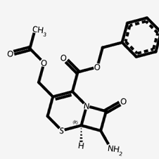 CC(=O)OCC1=C(C(=O)OCc2ccccc2)N2C(=O)C(N)[C@H]2SC1